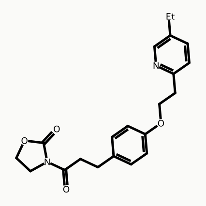 CCc1ccc(CCOc2ccc(CCC(=O)N3CCOC3=O)cc2)nc1